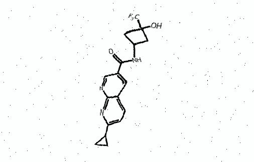 O=C(NC1CC(O)(C(F)(F)F)C1)c1cnc2nc(C3CC3)ccc2c1